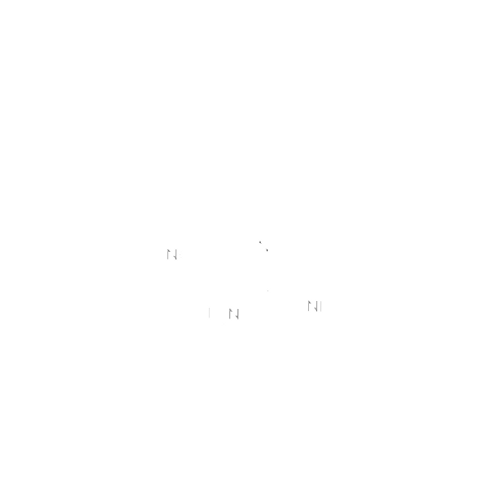 N#CC1[CH]CCCN1C(=N)N